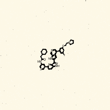 O=C(CC1CCCCC1)Nc1cncc(-c2ccc3[nH]nc(-c4cc5c(-c6cc(F)cc(OCCN7CCCC7)c6)cncc5[nH]4)c3n2)c1